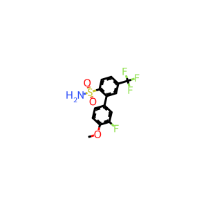 COc1ccc(-c2cc(C(F)(F)F)ccc2S(N)(=O)=O)cc1F